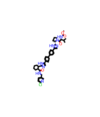 COC(=O)N[C@H](C(=O)N1CCC[C@H]1c1ncc(-c2ccc(-c3ccc(-c4cnc(C5CCCCC5C(=O)NCc5ccc(Cl)nc5)[nH]4)cc3)cc2)[nH]1)C(C)C